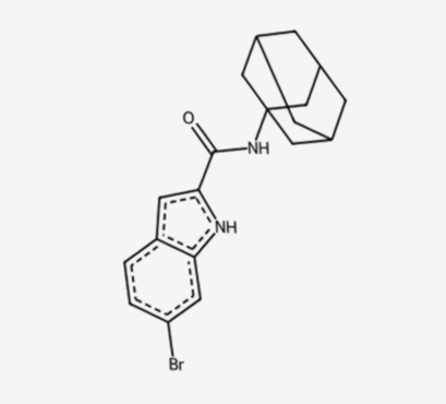 O=C(NC12CC3CC(CC(C3)C1)C2)c1cc2ccc(Br)cc2[nH]1